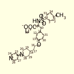 Cc1ccc(S(=O)(=O)NC(Cc2ccc(OCCC3CCN(c4ccncc4)CC3)cc2)C(=O)[O-])cc1.[Li+]